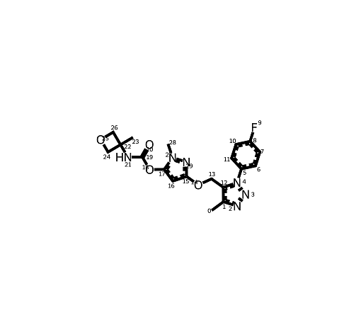 Cc1nnn(-c2ccc(F)cc2)c1COc1cc(OC(=O)NC2(C)COC2)n(C)n1